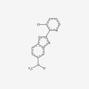 [O-][S+](c1ccc2oc(-c3ncccc3Cl)nc2c1)C(F)(F)F